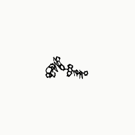 C1=CC2c3cc(-c4c5ccccc5c(-c5cn6cc(-c7ccccc7)nc6cn5)c5ccccc45)ccc3N(C3=NC4C=C(C=C3)C=Cc3cccnc34)C2N=C1